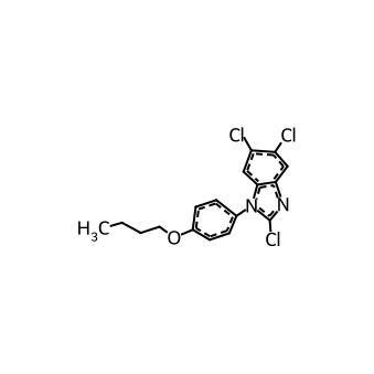 CCCCOc1ccc(-n2c(Cl)nc3cc(Cl)c(Cl)cc32)cc1